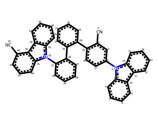 N#Cc1cc(-n2c3ccccc3c3ccccc32)ccc1-c1ccccc1-c1ccccc1-n1c2ccccc2c2c(C#N)cccc21